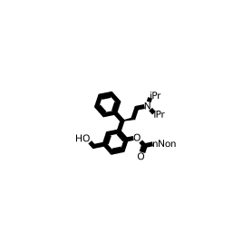 CCCCCCCCCC(=O)Oc1ccc(CO)cc1[C@H](CCN(C(C)C)C(C)C)c1ccccc1